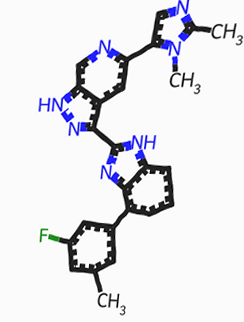 Cc1cc(F)cc(-c2cccc3[nH]c(-c4n[nH]c5cnc(-c6cnc(C)n6C)cc45)nc23)c1